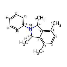 Cc1ccc(C)c2c1C(C)N(c1ccccc1)C2C